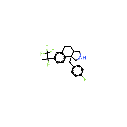 CC(F)(c1ccc2c(c1)CCC1CNCC21Cc1ccc(F)cc1)C(F)(F)F